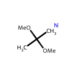 COC(C)(C)OC.[N]